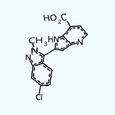 Cn1nc2cc(Cl)ccc2c1-c1cc2nccc(C(=O)O)c2[nH]1